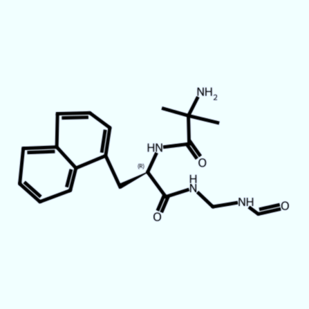 CC(C)(N)C(=O)N[C@H](Cc1cccc2ccccc12)C(=O)NCNC=O